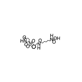 O=C(O)NCCCCCC(=O)NCc1cccc2c1C(=O)N(C1CCC(=O)NC1=O)C2=O